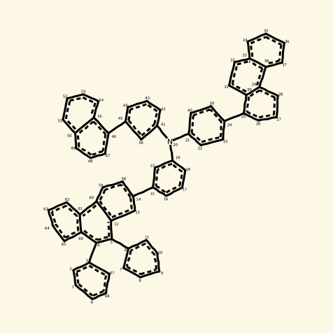 c1ccc(-c2c(-c3ccccc3)c3cc(-c4cccc(N(c5ccc(-c6cccc7c6ccc6ccccc67)cc5)c5cccc(-c6cccc7ccccc67)c5)c4)ccc3c3ccccc23)cc1